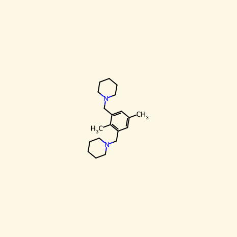 Cc1cc(CN2CCCCC2)c(C)c(CN2CCCCC2)c1